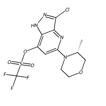 C[C@@H]1COCCN1c1cc(OS(=O)(=O)C(F)(F)F)c2[nH]nc(Cl)c2n1